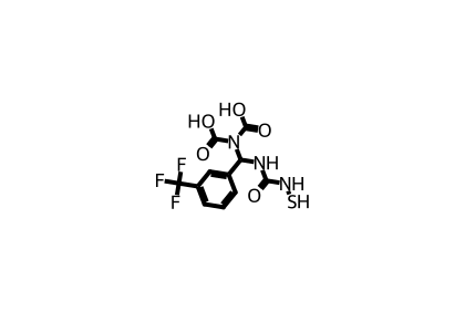 O=C(NS)NC(c1cccc(C(F)(F)F)c1)N(C(=O)O)C(=O)O